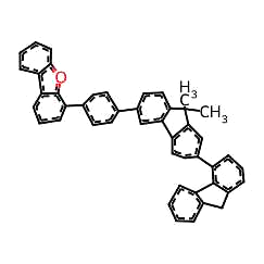 CC1(C)c2ccc(-c3ccc(-c4cccc5c4oc4ccccc45)cc3)cc2-c2ccc(-c3cccc4c3-c3ccccc3C4)cc21